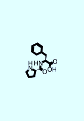 O=C(O)[C@H](CC1C=CC=CC1)NC(=O)[C@@H]1CCCN1